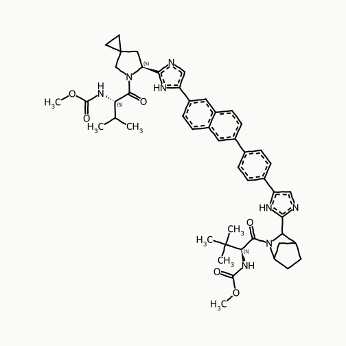 COC(=O)N[C@H](C(=O)N1CC2(CC2)C[C@H]1c1ncc(-c2ccc3cc(-c4ccc(-c5cnc(C6C7CCC(C7)N6C(=O)[C@@H](NC(=O)OC)C(C)(C)C)[nH]5)cc4)ccc3c2)[nH]1)C(C)C